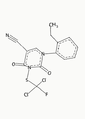 CCc1ccccc1-n1cc(C#N)c(=O)n(SC(F)(Cl)Cl)c1=O